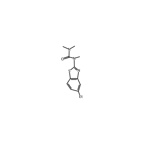 CCc1ccc2sc(N(C)C(=O)N(C)C)nc2c1